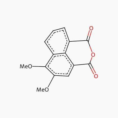 COc1cc2c3c(cccc3c1OC)C(=O)OC2=O